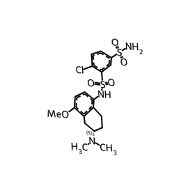 COc1ccc(NS(=O)(=O)c2cc(S(N)(=O)=O)ccc2Cl)c2c1C[C@@H](N(C)C)CC2